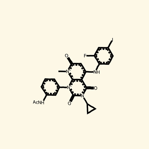 CC(=O)Nc1cccc(-n2c(=O)n(C3CC3)c(=O)c3c(Nc4ccc(I)cc4F)cc(=O)n(C)c32)c1